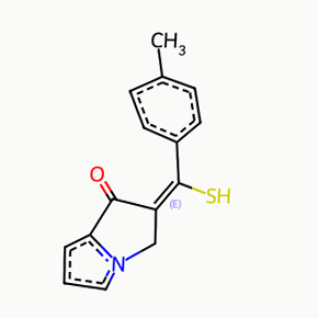 Cc1ccc(/C(S)=C2/Cn3cccc3C2=O)cc1